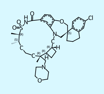 C[C@@H]1[C@@H](C)CCC[C@@](C)(CN2CCOCC2)[C@@H]2CC[C@H]2CN2C[C@@]3(CCCc4cc(Cl)ccc43)COc3ccc(cc32)C(=O)NS1(=O)=O